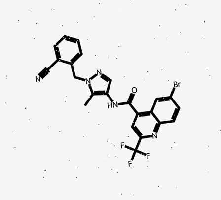 Cc1c(NC(=O)c2cc(C(F)(F)F)nc3ccc(Br)cc23)cnn1Cc1ccccc1C#N